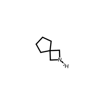 [2H]N1CC2(CCCC2)C1